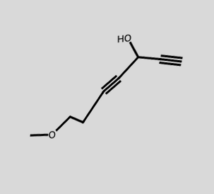 C#CC(O)C#CCCOC